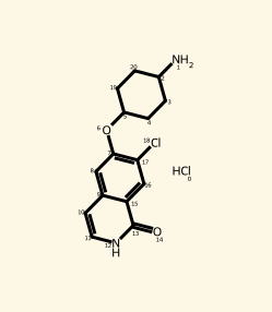 Cl.NC1CCC(Oc2cc3cc[nH]c(=O)c3cc2Cl)CC1